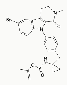 C=C(C)OC(=O)NC1(Cc2ccc(-n3c4c(c5cc(Br)ccc53)CCN(C)C4=O)cc2)CC1